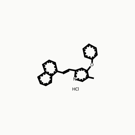 Cc1cnc(C=Cc2cccc3ccccc23)cc1Oc1ccccc1.Cl